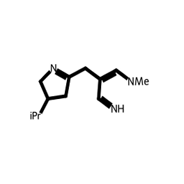 CN/C=C(\C=N)CC1=NCC(C(C)C)C1